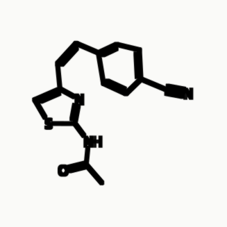 CC(=O)Nc1nc(/C=C\c2ccc(C#N)cc2)cs1